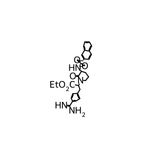 CCOC(=O)C(Cc1ccc(C(=N)N)cc1)N1CCCC(NS(=O)(=O)c2ccc3ccccc3c2)C1=O